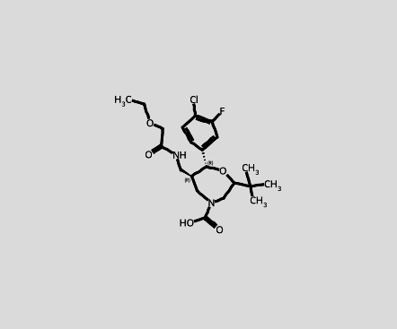 CCOCC(=O)NC[C@@H]1CN(C(=O)O)CC(C(C)(C)C)O[C@H]1c1ccc(Cl)c(F)c1